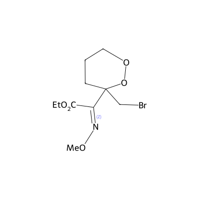 CCOC(=O)/C(=N\OC)C1(CBr)CCCOO1